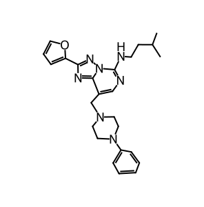 CC(C)CCNc1ncc(CN2CCN(c3ccccc3)CC2)c2nc(-c3ccco3)nn12